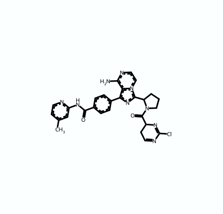 Cc1ccnc(NC(=O)c2ccc(-c3nc(C4CCCN4C(=O)C4CC=NC(Cl)=N4)n4ccnc(N)c34)cc2)c1